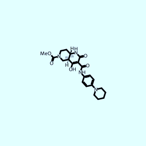 COC(=O)N1CC[C@@H]2NC(=O)C(C(=O)Nc3ccc(N4CCCCC4)cc3)=C(O)[C@H]2C1